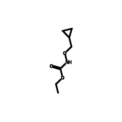 CCOC(=O)NOCC1CC1